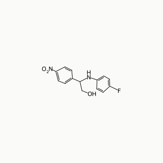 O=[N+]([O-])c1ccc(C(CO)Nc2ccc(F)cc2)cc1